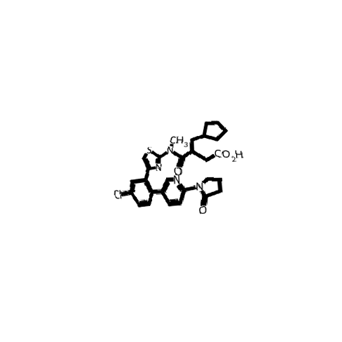 CN(C(=O)C(CC(=O)O)CC1CCCC1)c1nc(-c2cc(Cl)ccc2-c2ccc(N3CCCC3=O)nc2)cs1